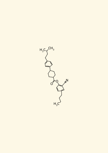 CCCCc1ccc(OC(=O)C2CCC(c3ccc(CCC(C)C)cc3)CC2)c(C#N)c1